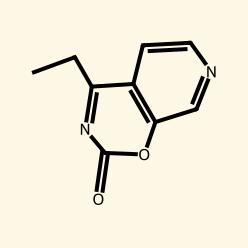 CCc1nc(=O)oc2cnccc12